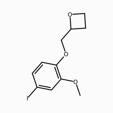 COc1cc(I)ccc1OCC1CCO1